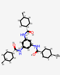 CC(C)(C)[C@H]1CC[C@@H](C(=O)Nc2cc(NC(=O)[C@H]3CC[C@H](C)CC3)cc(NC(=O)[C@H]3CC[C@H](C)CC3)c2)CC1